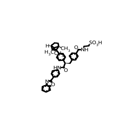 CC1(C)[C@H]2C=C(c3ccc([C@@H](Cc4ccc(C(=O)NCCS(=O)(=O)O)cc4)C(=O)Nc4ccc(-c5nc6ccccc6o5)cc4)cc3)[C@@]1(C)CC2